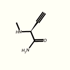 C#C[C@H](NC)C(N)=O